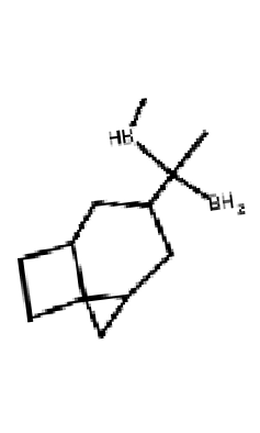 BC(C)(BC)C1CC2CCC23CC3C1